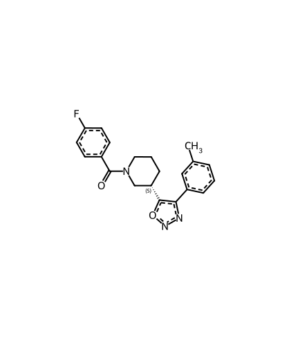 Cc1cccc(-c2nnoc2[C@H]2CCCN(C(=O)c3ccc(F)cc3)C2)c1